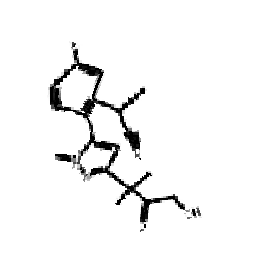 CC(C#N)c1cc(Br)ccc1-c1cc(C(C)(C)C(=O)CO)nn1C